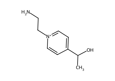 CC(O)c1cc[n+](CCN)cc1